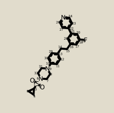 O=S(=O)(C1CC1)N1CCN(c2ccc(CCc3cc(F)cc(-c4ccncc4)c3)cc2)CC1